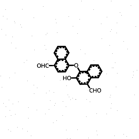 O=Cc1ccc(Oc2c(O)cc(C=O)c3ccccc23)c2ccccc12